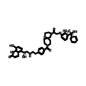 O=C(COc1cccc([C@](O)(C(=O)O)c2ccccc2)c1)N1CCOC2(CCN(C(=O)c3ccc(CCNC[C@H](O)c4ccc(O)c5[nH]c(=O)ccc45)cc3)CC2)C1